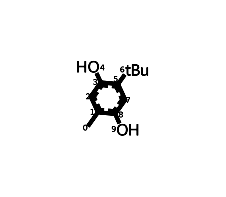 Cc1cc(O)c(C(C)(C)C)cc1O